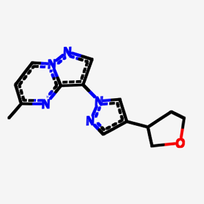 Cc1ccn2ncc(-n3cc(C4CCOC4)cn3)c2n1